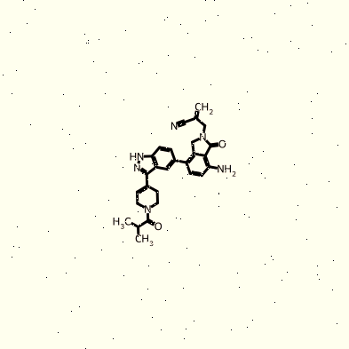 C=C(C#N)CN1Cc2c(-c3ccc4[nH]nc(C5=CCN(C(=O)C(C)C)CC5)c4c3)ccc(N)c2C1=O